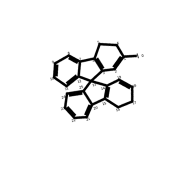 IC1=CC2=C(CC1)c1ccccc1C21C2=C(CCC=C2)c2ccccc21